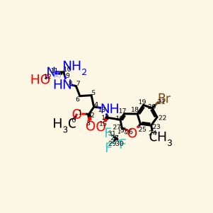 COC(=O)C(CCCN/C(N)=N\O)NC(=O)C1=Cc2cc(Br)cc(C)c2O[C@@H]1C(F)(F)F